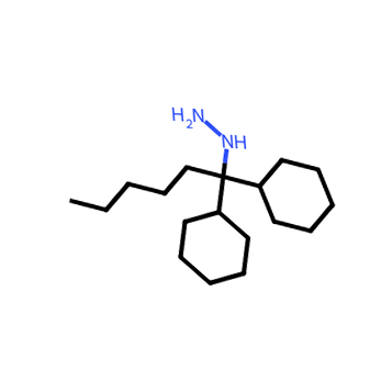 CCCCCC(NN)(C1CCCCC1)C1CCCCC1